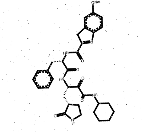 COc1ccc2c(c1)CC(C(=O)N[C@@H](Cc1ccccc1)C(=O)N[C@@H](C[C@@H]1CCNC1=O)C(=O)C(=O)NC1CCCCC1)=N2